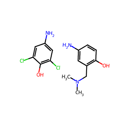 CN(C)Cc1cc(N)ccc1O.Nc1cc(Cl)c(O)c(Cl)c1